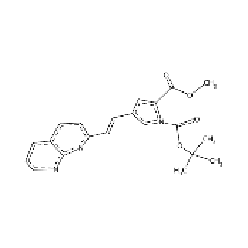 COC(=O)c1cc(/C=C/c2ccc3cccnc3n2)cn1C(=O)OC(C)(C)C